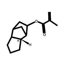 C=C(C)C(=O)OC1CC2CC1[C@@H]1CCCC21